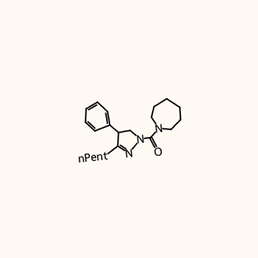 CCCCCC1=NN(C(=O)N2CCCCCC2)CC1c1ccccc1